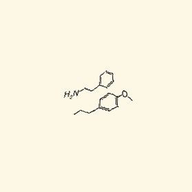 CCCc1ccc(OC)cc1.NCCc1ccccc1